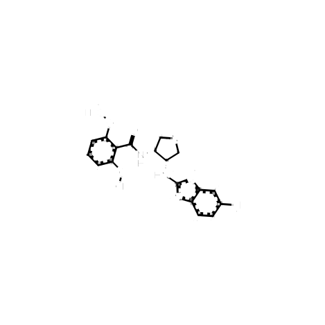 COc1cccc(OC)c1C(=O)N[C@@H]1CNC[C@@H]1Nc1nc2ccc(Cl)cc2s1